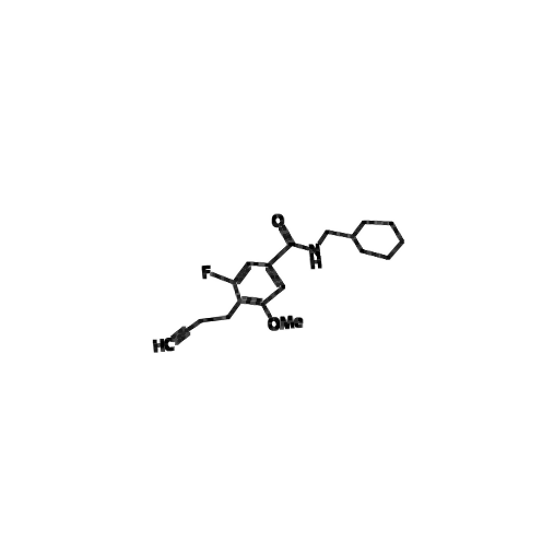 C#CCCc1c(F)cc(C(=O)NCC2CCCCC2)cc1OC